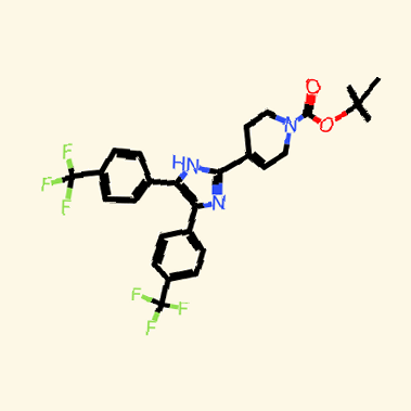 CC(C)(C)OC(=O)N1CC=C(c2nc(-c3ccc(C(F)(F)F)cc3)c(-c3ccc(C(F)(F)F)cc3)[nH]2)CC1